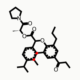 CCCc1cc(C(=O)CC)cc(CCC)c1OC(C(=O)O[C@H](C)C(=O)N1CCCC1)c1ccc(C(C)C)cc1